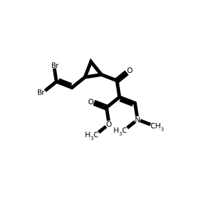 COC(=O)/C(=C\N(C)C)C(=O)C1CC1C=C(Br)Br